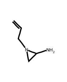 C=CCN1CC1N